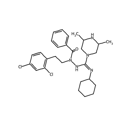 CC1CN(C(=NC2CCCCC2)NN(CCc2ccc(Cl)cc2Cl)C(=O)c2ccccc2)CC(C)N1